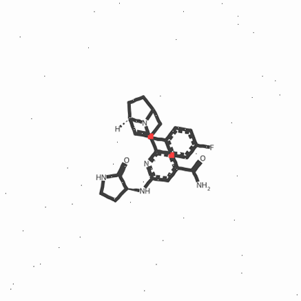 NC(=O)c1cc(N[C@H]2CCNC2=O)nc(C2=C[C@H]3CCC(C2)N3Cc2ccc(F)cc2)n1